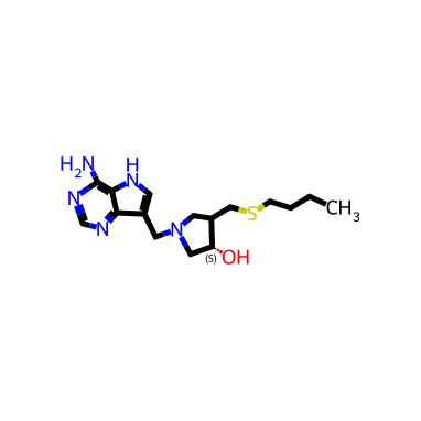 CCCCSCC1CN(Cc2c[nH]c3c(N)ncnc23)C[C@H]1O